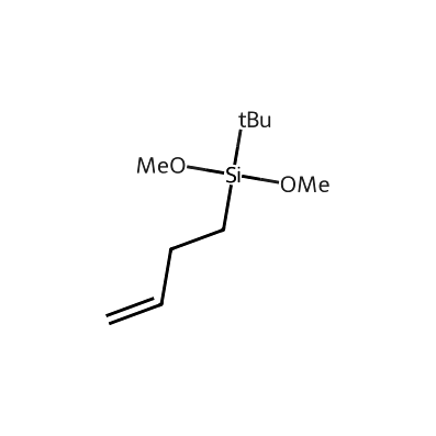 C=CCC[Si](OC)(OC)C(C)(C)C